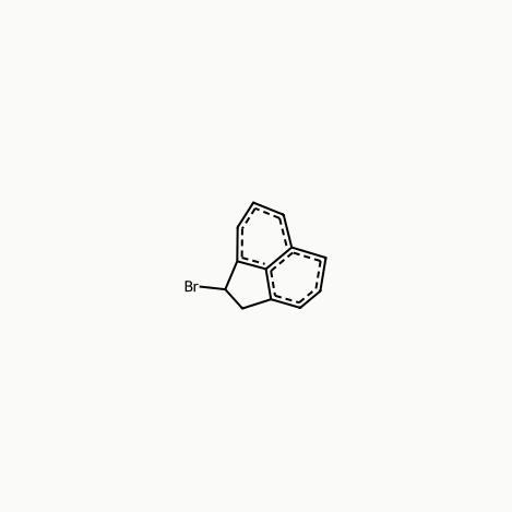 BrC1Cc2cccc3cccc1c23